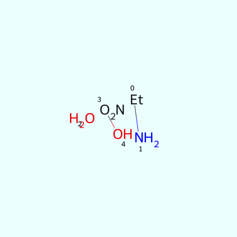 CCN.O.O=[N+]([O-])O